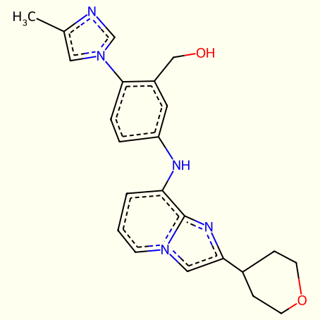 Cc1cn(-c2ccc(Nc3cccn4cc(C5CCOCC5)nc34)cc2CO)cn1